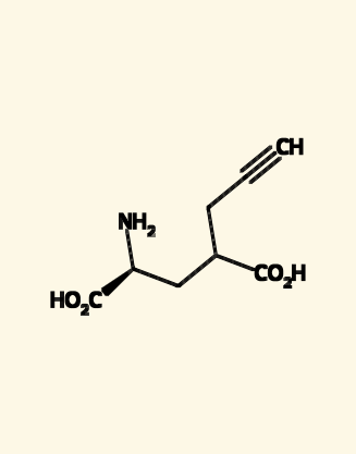 C#CCC(C[C@H](N)C(=O)O)C(=O)O